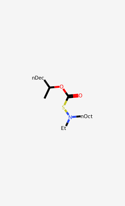 CCCCCCCCCCC(C)OC(=O)SN(CC)CCCCCCCC